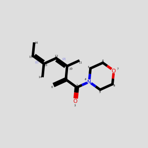 C=C(C(=O)N1CCOCC1)/C(C)=C\C(C)=C/C